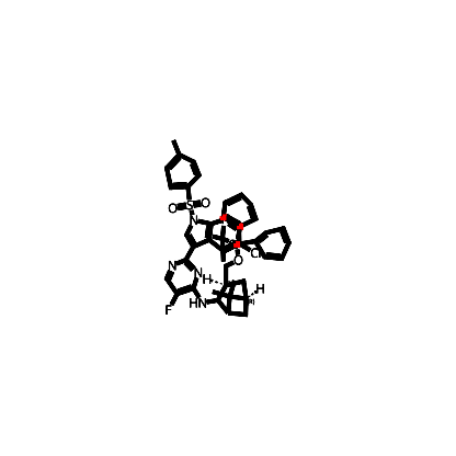 Cc1ccc(S(=O)(=O)n2cc(-c3ncc(F)c(NC4C5C[C@H](C[C@@H]4CO[Si](c4ccccc4)(c4ccccc4)C(C)(C)C)C5(C)C)n3)c3cc(Cl)cnc32)cc1